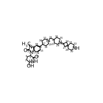 Cn1c(=O)n(C2CCC(O)NC2=O)c2ccc(C3CCN(CC4CCN(C5CC6(CCNCC6)C5)CC4)CC3)cc21